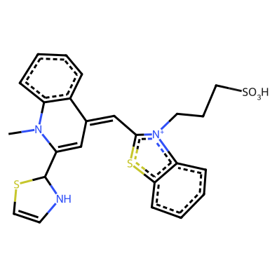 CN1C(C2NC=CS2)=C/C(=C\c2sc3ccccc3[n+]2CCCS(=O)(=O)O)c2ccccc21